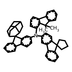 CC1(C)c2ccccc2-c2cccc(N(c3ccc4c(c3)-c3ccccc3C43CCCC3)c3ccc4c(c3)C3(c5ccccc5-4)C4CC5CC(C4)CC3C5)c21